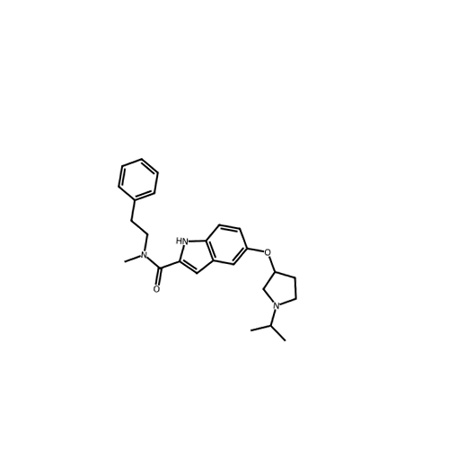 CC(C)N1CCC(Oc2ccc3[nH]c(C(=O)N(C)CCc4ccccc4)cc3c2)C1